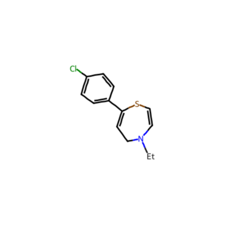 CCN1C=CSC(c2ccc(Cl)cc2)=CC1